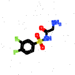 NCC(=O)NS(=O)(=O)c1ccc(F)c(F)c1